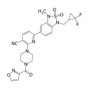 CN1c2cc(-c3ccc(C#N)c(N4CCN(C(=O)c5ccon5)CC4)n3)ccc2N(CC2CC2(F)F)S1(=O)=O